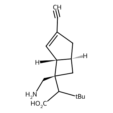 C#CC1=C[C@@H]2[C@@H](C1)C[C@]2(CN)C(C(=O)O)C(C)(C)C